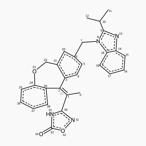 C/C(=C1\c2ccc(Cn3c(C(C)C)nc4ccccc43)cc2COc2ccccc21)c1noc(=O)[nH]1